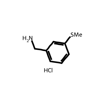 CSc1cccc(CN)c1.Cl